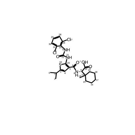 CC(C)c1cc(C(=O)N[C@H](C(=O)O)C2(C)CCCCC2)c(NC(=O)Nc2c(Cl)cccc2Cl)s1